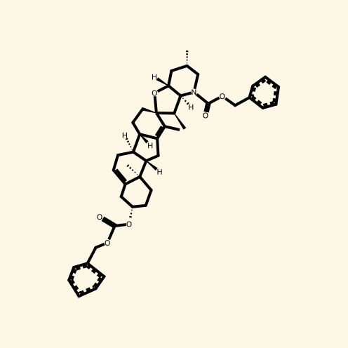 CC1=C2C[C@H]3[C@@H](CC=C4C[C@@H](OC(=O)OCc5ccccc5)CC[C@@]43C)[C@@H]2CC[C@]12O[C@@H]1C[C@H](C)CN(C(=O)OCc3ccccc3)[C@H]1[C@H]2C